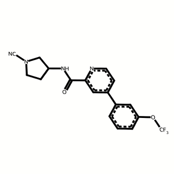 N#CN1CCC(NC(=O)c2cc(-c3cccc(OC(F)(F)F)c3)ccn2)C1